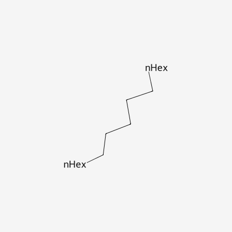 CCCC[CH]CCCCCCCCCCCC